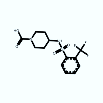 O=C(O)N1CCC(NS(=O)(=O)c2ccccc2C(F)(F)F)CC1